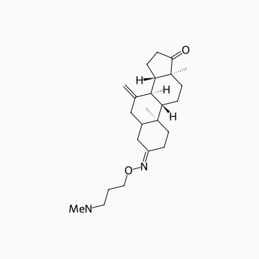 C=C1CC2CC(=NOCCCNC)CC[C@]2(C)[C@H]2CC[C@]3(C)C(=O)CC[C@H]3[C@H]12